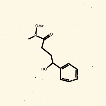 CON(C)C(=O)CCC(O)c1ccccc1